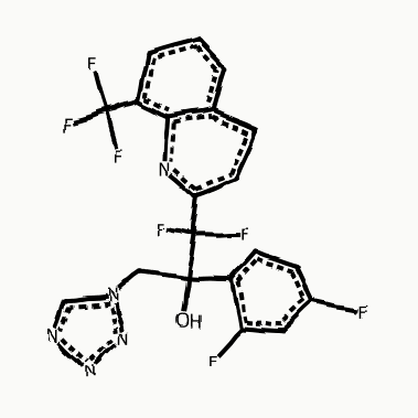 OC(Cn1cnnn1)(c1ccc(F)cc1F)C(F)(F)c1ccc2cccc(C(F)(F)F)c2n1